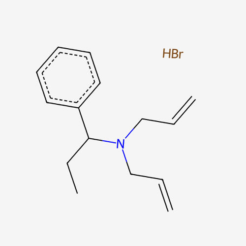 Br.C=CCN(CC=C)C(CC)c1ccccc1